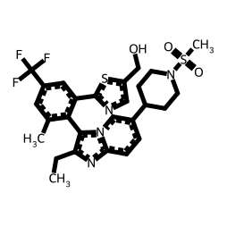 CCc1nc2ccc(C3CCN(S(C)(=O)=O)CC3)cn2c1-c1c(C)cc(C(F)(F)F)cc1-c1ncc(CO)s1